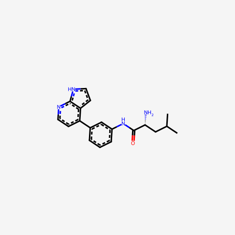 CC(C)C[C@@H](N)C(=O)Nc1cccc(-c2ccnc3[nH]ccc23)c1